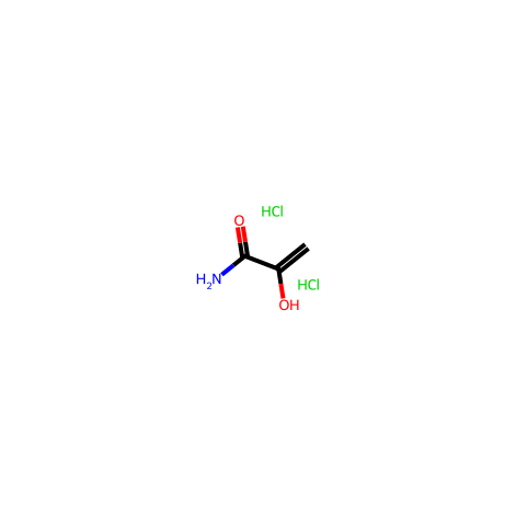 C=C(O)C(N)=O.Cl.Cl